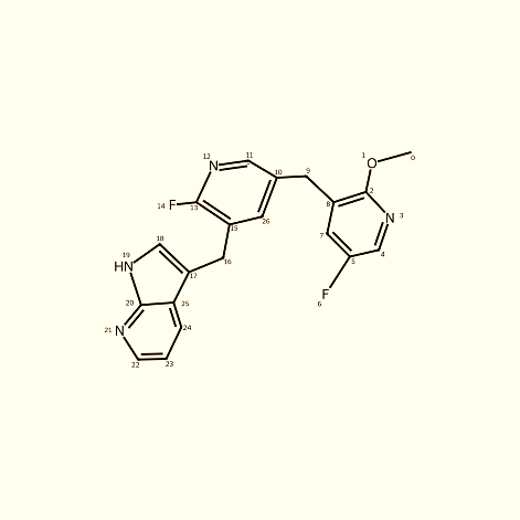 COc1ncc(F)cc1Cc1[c]nc(F)c(Cc2c[nH]c3ncccc23)c1